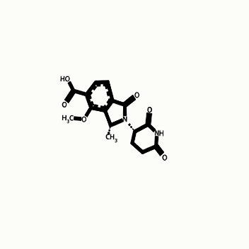 COc1c(C(=O)O)ccc2c1[C@@H](C)N([C@H]1CCC(=O)NC1=O)C2=O